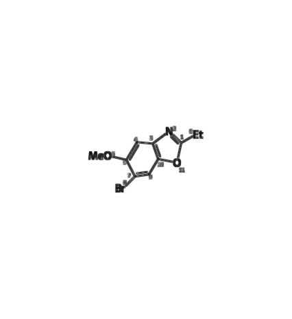 CCc1nc2cc(OC)c(Br)cc2o1